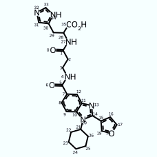 O=C(CCNC(=O)c1ccc2c(c1)nc(-c1ccoc1)n2C1CCCCC1)NC(Cc1cnc[nH]1)C(=O)O